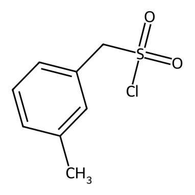 Cc1cccc(CS(=O)(=O)Cl)c1